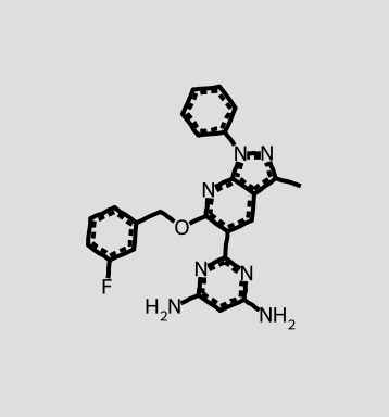 Cc1nn(-c2ccccc2)c2nc(OCc3cccc(F)c3)c(-c3nc(N)cc(N)n3)cc12